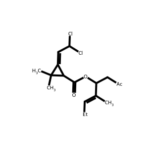 CCC=C(C)C(CC(C)=O)OC(=O)C1C(=CC(Cl)Cl)C1(C)C